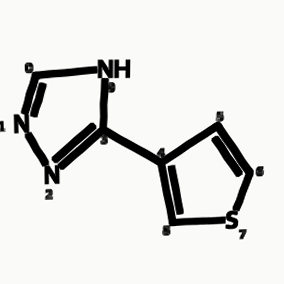 c1nnc(-c2ccsc2)[nH]1